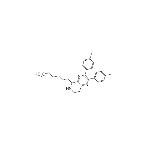 Cc1ccc(-c2nc3c(nc2-c2ccc(C)cc2)C(CCCCCC(=O)O)NCC3)cc1